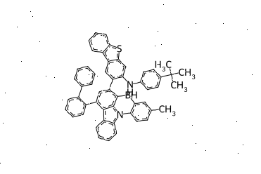 Cc1ccc2c(c1)Bc1c(-c3cc4c(cc3Nc3ccc(C(C)(C)C)cc3)sc3ccccc34)cc(-c3ccccc3-c3ccccc3)c3c4ccccc4n-2c13